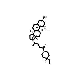 CCC1(O)CCN(C(=O)CCC(C)[C@H]2CC[C@H]3[C@@H]4CC=C5C[C@@H](O)C[C@H](O)[C@]5(C)[C@H]4CC[C@]23C)CC1